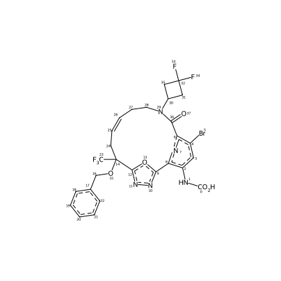 O=C(O)Nc1cc(Br)c2nc1-c1nnc(o1)C(OCc1ccccc1)(C(F)(F)F)CC=CCCN(C1CC(F)(F)C1)C2=O